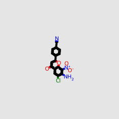 N#Cc1ccc(-c2cc(=O)c3cc(Cl)c(N)c([N+](=O)[O-])c3o2)cc1